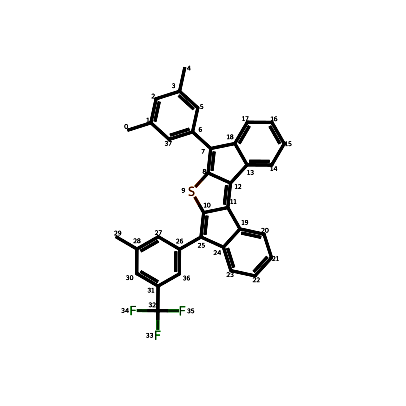 Cc1cc(C)cc(C2=c3sc4c(c3-c3ccccc32)-c2ccccc2C=4c2cc(C)cc(C(F)(F)F)c2)c1